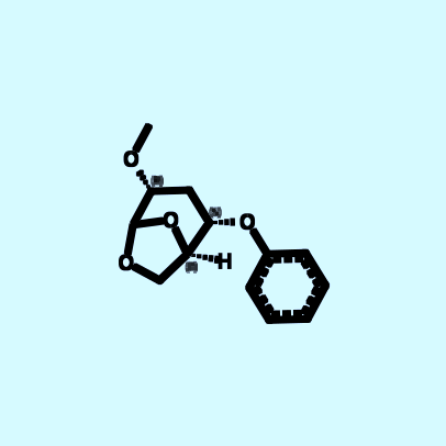 CO[C@@H]1C[C@H](Oc2ccccc2)[C@H]2COC1O2